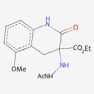 CCOC(=O)C1(NNC(C)=O)Cc2c(cccc2OC)NC1=O